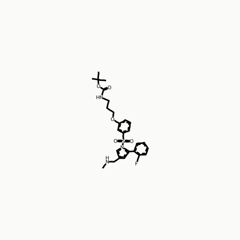 CNCc1cc(-c2ccccc2F)n(S(=O)(=O)c2cccc(OCCCNC(=O)OC(C)(C)C)c2)c1